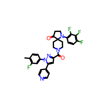 Cc1ccc(-n2nc(C(=O)N3CCC4(CC3)C(=O)CCN4c3ccc(F)c(F)c3F)cc2-c2ccncc2)cc1F